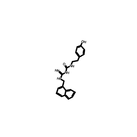 N=C(NCc1cccc2ccccc12)NC(=O)NCCc1ccc(O)cc1